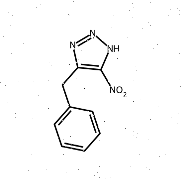 O=[N+]([O-])c1[nH]nnc1Cc1ccccc1